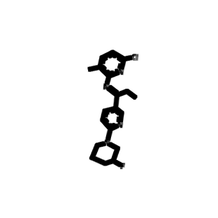 CC/C(=N\c1nc(Cl)ccc1C)c1ccc(N2CCCC(F)C2)nc1